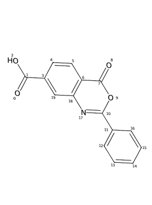 O=C(O)c1ccc2c(=O)oc(-c3ccccc3)nc2c1